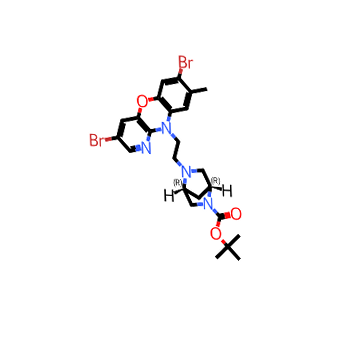 Cc1cc2c(cc1Br)Oc1cc(Br)cnc1N2CCN1C[C@H]2C[C@@H]1CN2C(=O)OC(C)(C)C